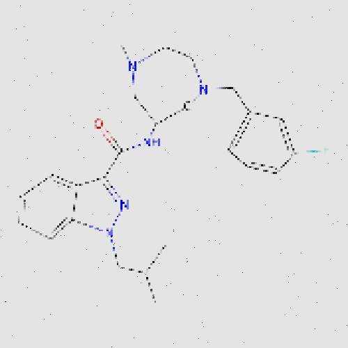 CC(C)Cn1nc(C(=O)NC2CN(C)CCN(Cc3cccc(F)c3)C2)c2ccccc21